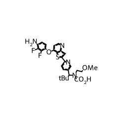 COCCN(C(=O)O)C(c1ccc(-c2cc3nccc(Oc4ccc(N)c(F)c4F)c3s2)nc1)C(C)(C)C